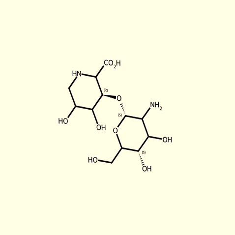 NC1C(O)[C@H](O)C(CO)O[C@@H]1O[C@@H]1C(C(=O)O)NCC(O)C1O